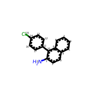 Nc1ccc2ccccc2c1-c1ccc(Cl)cc1